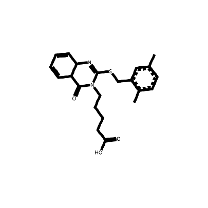 Cc1ccc(C)c(CSC2=NC3C=CC=CC3C(=O)N2CCCCC(=O)O)c1